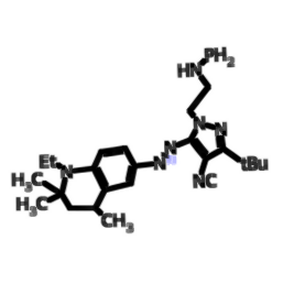 [C-]#[N+]c1c(C(C)(C)C)nn(CCNP)c1/N=N/c1ccc2c(c1)C(C)CC(C)(C)N2CC